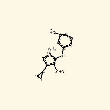 Cn1nc(C2CC2)c(C=O)c1Sc1cccc(O)c1